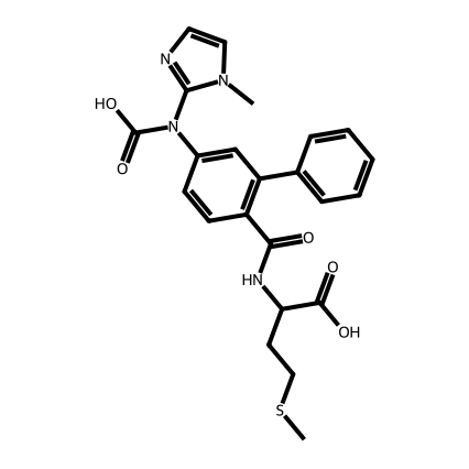 CSCCC(NC(=O)c1ccc(N(C(=O)O)c2nccn2C)cc1-c1ccccc1)C(=O)O